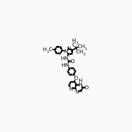 Cc1ccc(-n2nc(C(C)(C)C)cc2NC(=O)Nc2ccc(Oc3ccnc4ncc(=O)[nH]c34)cc2)cc1